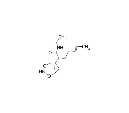 CC=CCCC(C(=O)NCC)C1CC2CC1OBO2